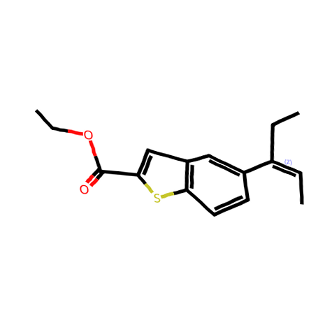 C/C=C(/CC)c1ccc2sc(C(=O)OCC)cc2c1